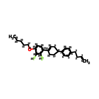 C=CCCc1ccc(C2CC=C(c3ccc(OCCCCC)c(F)c3F)CC2)cc1